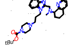 CN(Cc1nc2ccccc2n1CCCN1CCN(C(=O)OC(C)(C)C)CC1)C1CCCc2cccnc21